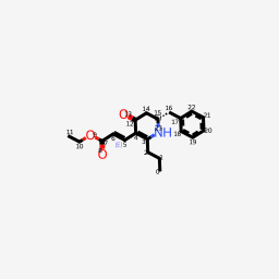 CCCC1=C(/C=C/C(=O)OCC)C(=O)C[C@H](Cc2ccccc2)N1